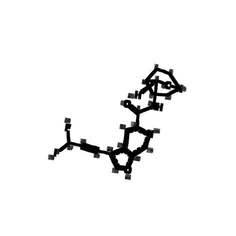 O=C(N[C@H]1CN2CCC1CC2)c1cc2c(C#CC(F)F)coc2cn1